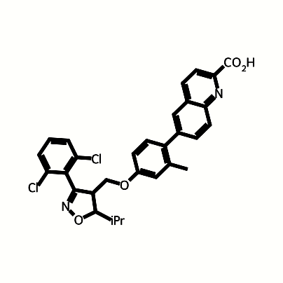 Cc1cc(OCC2C(c3c(Cl)cccc3Cl)=NOC2C(C)C)ccc1-c1ccc2nc(C(=O)O)ccc2c1